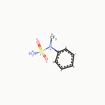 NS(=O)(=O)N(c1ccccc1)C(F)(F)F